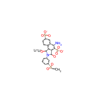 C=CS(=O)(=O)c1cccc(N2C(=O)c3c(S(=O)(=O)[O-])c(N)c4cc(S(=O)(=O)[O-])ccc4c3C2=O)c1.[Li+].[Li+]